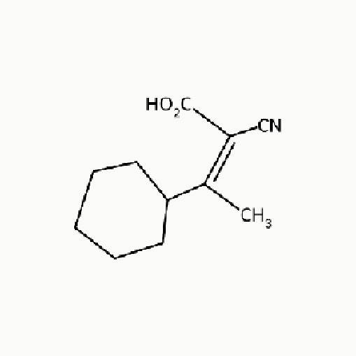 CC(=C(C#N)C(=O)O)C1CCCCC1